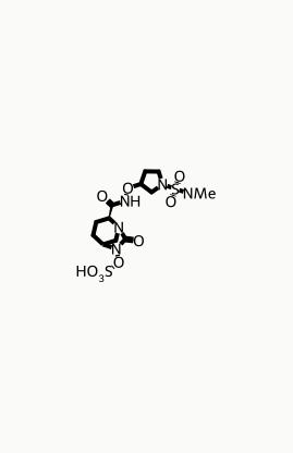 CNS(=O)(=O)N1CCC(ONC(=O)[C@@H]2CCC3CN2C(=O)N3OS(=O)(=O)O)C1